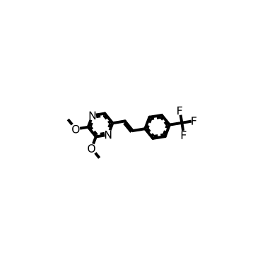 COc1ncc(/C=C/c2ccc(C(F)(F)F)cc2)nc1OC